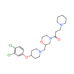 O=C(CCN1CCCCC1)N1CCOC(CN2CCC(Oc3ccc(Cl)c(Cl)c3)CC2)C1